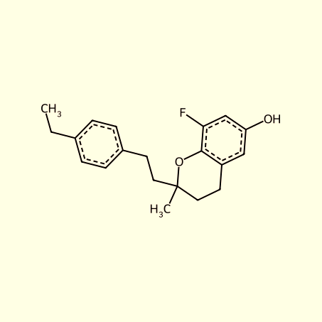 CCc1ccc(CCC2(C)CCc3cc(O)cc(F)c3O2)cc1